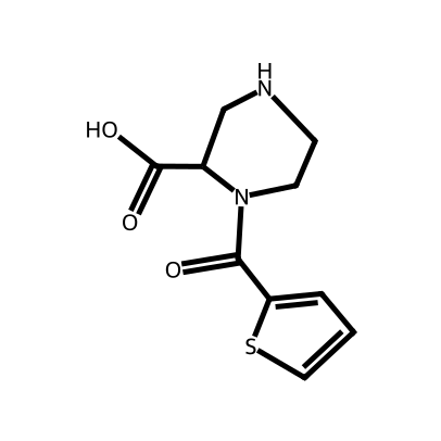 O=C(O)C1CNCCN1C(=O)c1cccs1